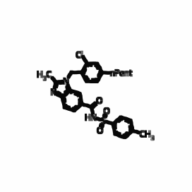 CCCCCc1ccc(Cn2c(C)nc3ccc(C(=O)NS(=O)(=O)c4ccc(C)cc4)cc32)c(Cl)c1